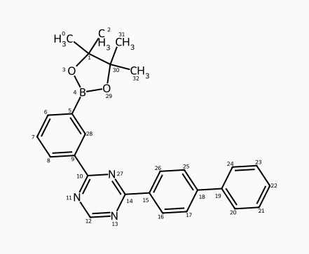 CC1(C)OB(c2cccc(-c3ncnc(-c4ccc(-c5ccccc5)cc4)n3)c2)OC1(C)C